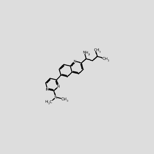 CC(C)CC(N)c1ccc2cc(-c3ccnc(N(C)C)n3)ccc2n1